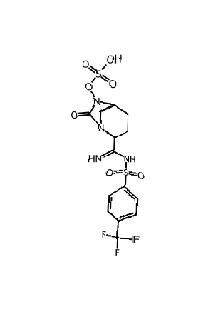 N=C(NS(=O)(=O)c1ccc(C(F)(F)F)cc1)C1CCC2CN1C(=O)N2OS(=O)(=O)O